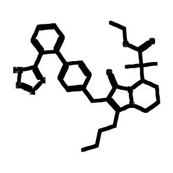 CCCCc1c(Cc2ccc(-c3ccccc3-c3nnn[nH]3)cc2)c(=O)n2n1CCCC2C(C)(C)C(=O)OCC